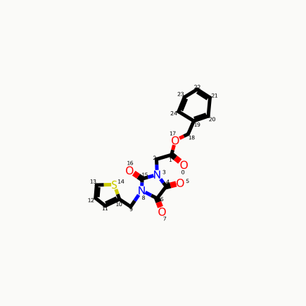 O=C(CN1C(=O)C(=O)N(Cc2cccs2)C1=O)OCc1ccccc1